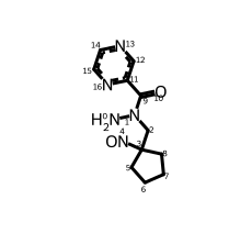 NN(CC1(N=O)CCCC1)C(=O)c1cnccn1